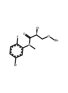 CCC(C)OC[C@H](CC)C(=O)N(C)c1cc(Br)ccc1F